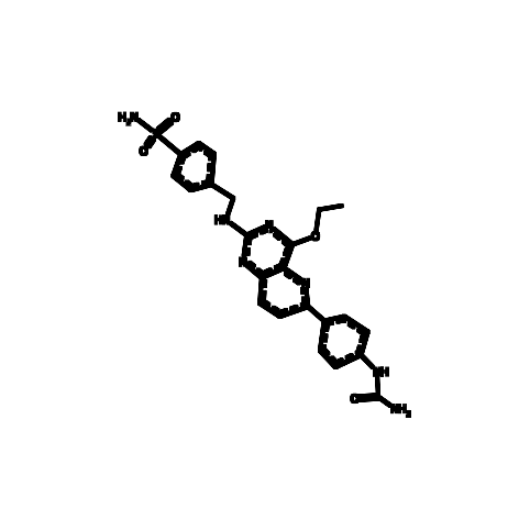 CCOc1nc(NCc2ccc(S(N)(=O)=O)cc2)nc2ccc(-c3ccc(NC(N)=O)cc3)nc12